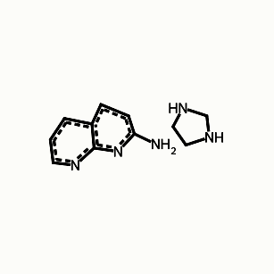 C1CNCN1.Nc1ccc2cccnc2n1